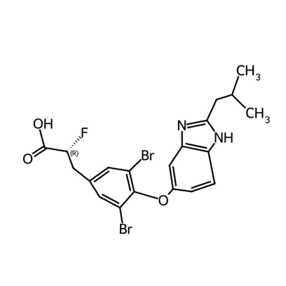 CC(C)Cc1nc2cc(Oc3c(Br)cc(C[C@@H](F)C(=O)O)cc3Br)ccc2[nH]1